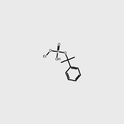 CCOP(=O)(O)OC(C)(C)c1ccccc1